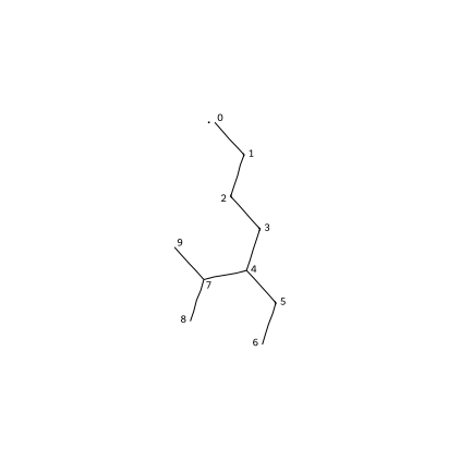 [CH2]CCCC(CC)C(C)C